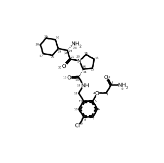 NC(=O)COc1ccc(Cl)cc1CNC(=O)[C@H]1CCCN1C(=O)[C@@H](N)C1CCCCC1